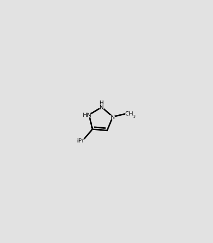 CC(C)C1=CN(C)NN1